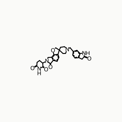 O=C1CCC(N2Cc3c(ccc4c3OCC43CCN(Cc4ccc5c(c4)NC(=O)C5)CC3)C2=O)C(=O)N1